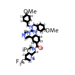 COc1ccc(CN(Cc2ccc(OC)cc2)c2nc3ccc(C(=O)N(Cc4ccc(C(F)(F)F)cn4)CC(C)C)cc3c3cncn23)cc1